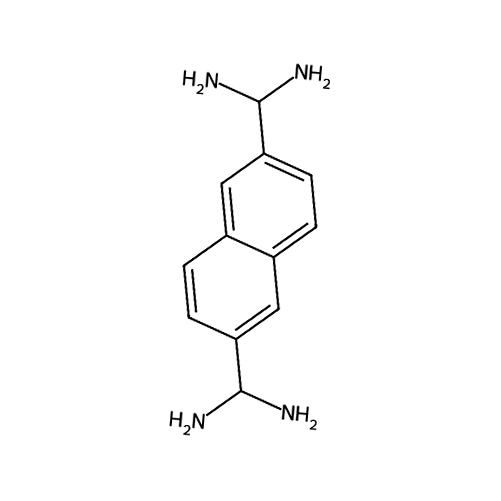 NC(N)c1ccc2cc(C(N)N)ccc2c1